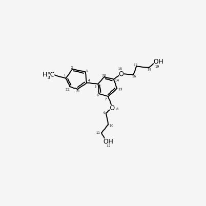 Cc1ccc(-c2cc(OCCCO)cc(OCCCO)c2)cc1